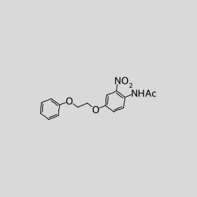 CC(=O)Nc1ccc(OCCOc2ccccc2)cc1[N+](=O)[O-]